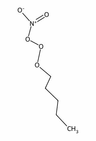 CCCCCOOO[N+](=O)[O-]